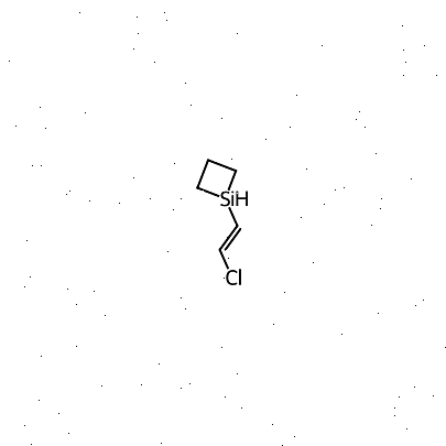 ClC=C[SiH]1CCC1